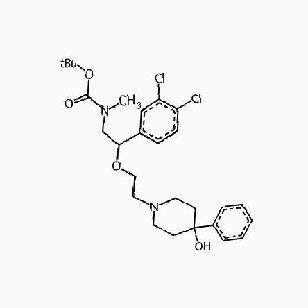 CN(CC(OCCN1CCC(O)(c2ccccc2)CC1)c1ccc(Cl)c(Cl)c1)C(=O)OC(C)(C)C